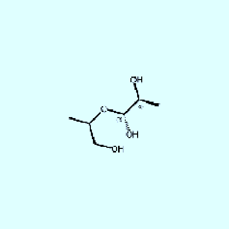 CC(CO)O[C@@H](O)[C@H](C)O